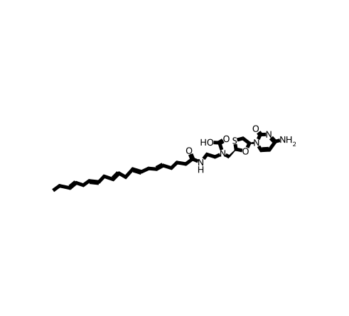 CCC=CCC=CCC=CCC=CCC=CCCCC(=O)NCCN(C[C@@H]1O[C@H](n2ccc(N)nc2=O)CS1)C(=O)O